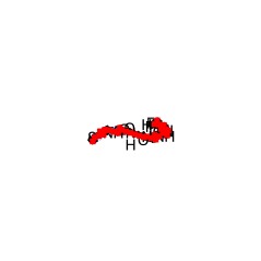 CC(=C\c1ccc(/C=C/c2ccc(OCC(=O)NCCCCCC(=O)NCc3ccc(NC(=O)N4CCCN(C)c5ccc(-c6cccc(C(F)(F)F)c6)nc54)cc3)cc2)[nH]1)/C=C(\C)c1cccs1